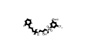 CCCC(C)c1cc(C(F)(F)F)cc(S(=O)(=O)N(C)C[C@H](O)CNC(C)(C)CCCc2ccccc2F)c1